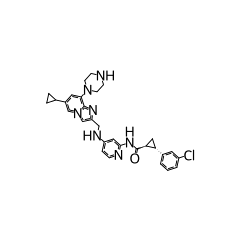 O=C(Nc1cc(NCc2cn3cc(C4CC4)cc(N4CCNCC4)c3n2)ccn1)[C@H]1C[C@@H]1c1cccc(Cl)c1